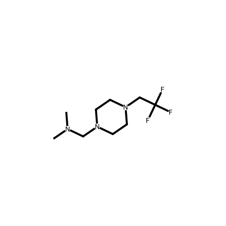 CN(C)CN1CCN(CC(F)(F)F)CC1